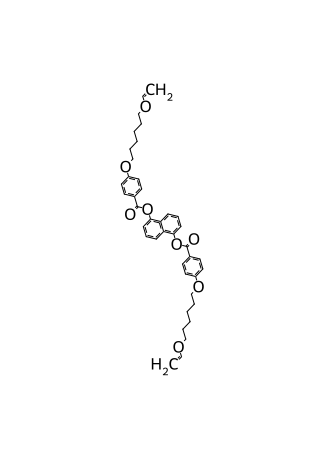 C=COCCCCCCOc1ccc(C(=O)Oc2cccc3c(OC(=O)c4ccc(OCCCCCCOC=C)cc4)cccc23)cc1